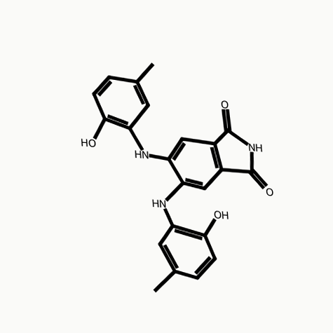 Cc1ccc(O)c(Nc2cc3c(cc2Nc2cc(C)ccc2O)C(=O)NC3=O)c1